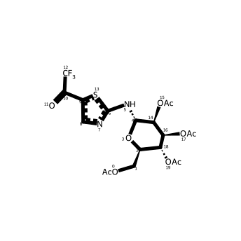 CC(=O)OC[C@H]1O[C@H](Nc2ncc(C(=O)C(F)(F)F)s2)[C@@H](OC(C)=O)[C@@H](OC(C)=O)[C@@H]1OC(C)=O